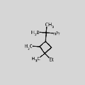 BC(C)(CCC)C1CC(C)(CC)C1C